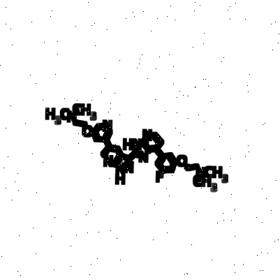 CN(C)CCOc1cncc(-c2cnc3[nH]nc(-c4nc5c(-c6cc(F)cc(OCCN(C)C)c6)ccnc5[nH]4)c3c2)c1